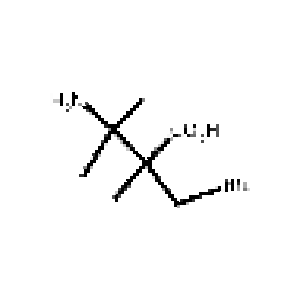 CC(C)(C)CC(C)(C(=O)O)C(C)(C)N